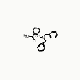 O=C(O)C1CCCC[C@@H]1CN(Cc1ccccc1)Cc1ccccc1